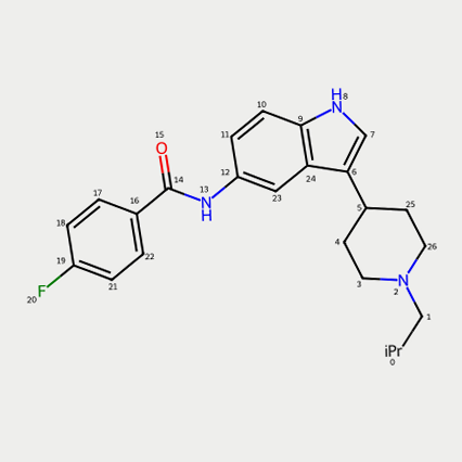 CC(C)CN1CCC(c2c[nH]c3ccc(NC(=O)c4ccc(F)cc4)cc23)CC1